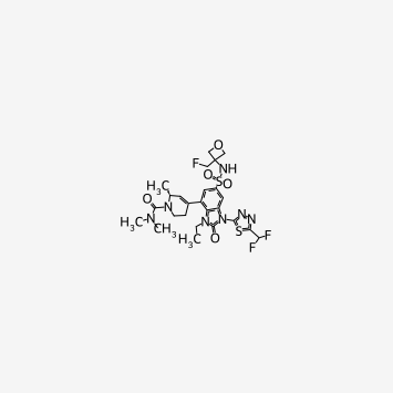 CCn1c(=O)n(-c2nnc(C(F)F)s2)c2cc(S(=O)(=O)NC3(CF)COC3)cc(C3=C[C@H](C)N(C(=O)N(C)C)CC3)c21